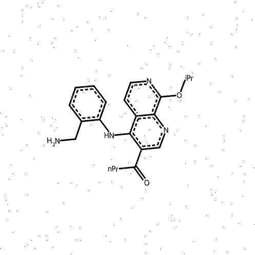 CCCC(=O)c1cnc2c(OC(C)C)nccc2c1Nc1ccccc1CN